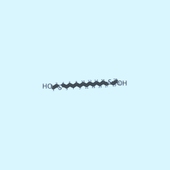 OCCSCCCCCCCCCCCCCCSCCO